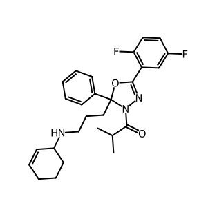 CC(C)C(=O)N1N=C(c2cc(F)ccc2F)OC1(CCCNC1C=CCCC1)c1ccccc1